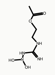 CC(=O)OCCNC(=N)NN(O)O